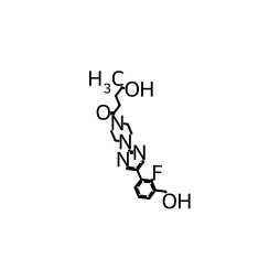 CC(O)CCC(=O)N1CCN(c2ncc(-c3cccc(CO)c3F)cn2)CC1